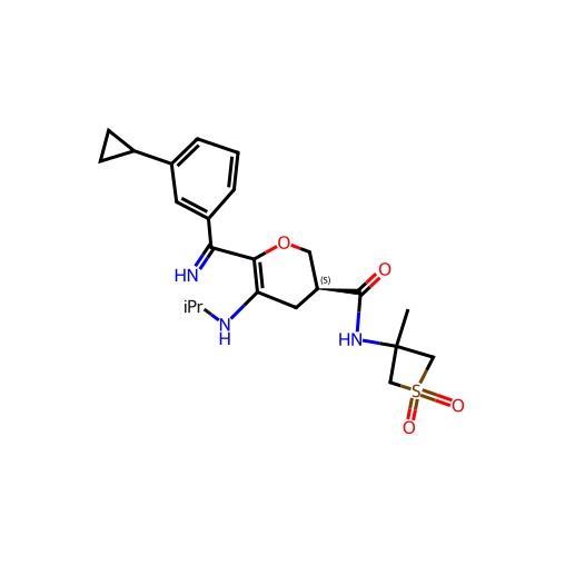 CC(C)NC1=C(C(=N)c2cccc(C3CC3)c2)OC[C@@H](C(=O)NC2(C)CS(=O)(=O)C2)C1